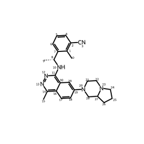 Cc1c(C#N)cccc1[C@@H](C)Nc1nnc(C)c2ccc(N3CCN4CCCC4C3)cc12